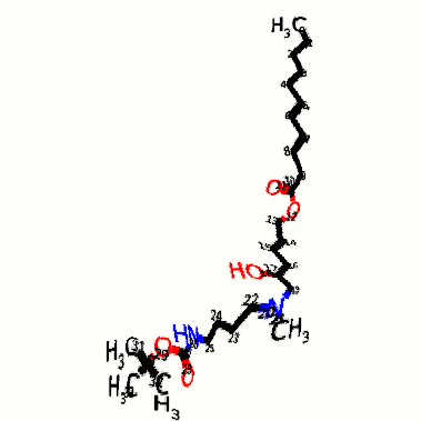 CCCCCCCCCCC(=O)OCCCCC(O)CN(C)CCCCNC(=O)OC(C)(C)C